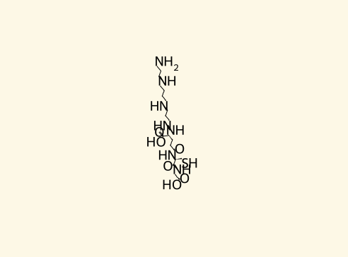 NCCCNCCCCNCCCNN[C@@H](CCC(=O)N[C@@H](CS)C(=O)NCC(=O)O)C(=O)O